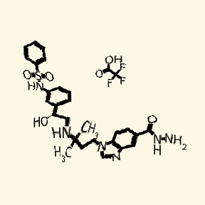 CC(C)(CCn1cnc2cc(C(=O)NN)ccc21)NC[C@H](O)c1cccc(NS(=O)(=O)c2ccccc2)c1.O=C(O)C(F)(F)F